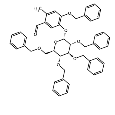 Cc1cc(OCc2ccccc2)c(O[C@H]2O[C@H](COCc3ccccc3)[C@@H](OCc3ccccc3)[C@H](OCc3ccccc3)[C@H]2OCc2ccccc2)cc1C=O